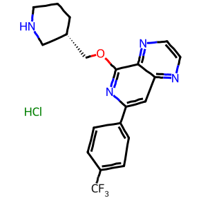 Cl.FC(F)(F)c1ccc(-c2cc3nccnc3c(OC[C@H]3CCCNC3)n2)cc1